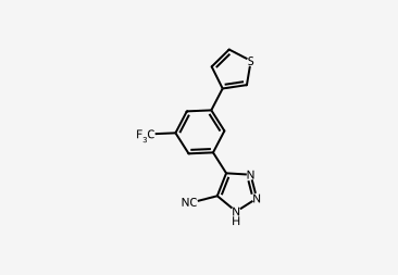 N#Cc1[nH]nnc1-c1cc(-c2ccsc2)cc(C(F)(F)F)c1